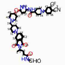 CC(CCC(=O)NC=O)N1C(=O)c2ccc(N3CCC(CN4CCC(Oc5ccc(NC(=O)C6CCN(c7ccc(C#N)c(C(F)(F)F)c7)CC6)nn5)CC4)CC3)cc2C1=O